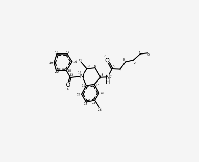 CCCCCC(=O)NC1CC(C)N(C(=O)c2ccccc2)c2ccc(C)cc21